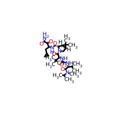 CC(C)[C@H](NC(=O)N[C@H](C(=O)N1C[C@H]2[C@@H]([C@H]1C(=O)NC(CC1CC1)C(=O)C(N)=O)C2(C)C)C(C)(C)C)C(=O)N(C)C(C)C